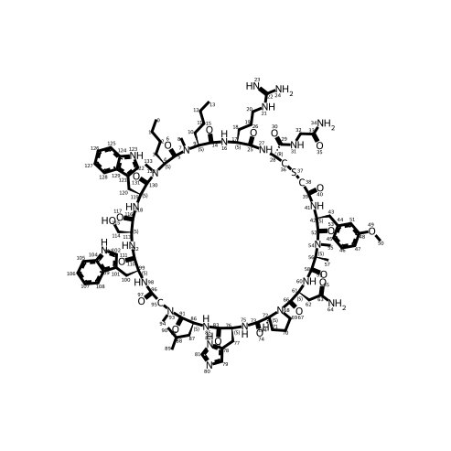 CCCC[C@H]1C(=O)N(C)[C@@H](CCCC)C(=O)N[C@@H](CCCNC(=N)N)C(=O)N[C@H](C(=O)NCC(N)=O)CSCC(=O)N[C@@H](Cc2cccc(OC)c2)C(=O)N(C)[C@@H](C)C(=O)N[C@@H](CC(N)=O)C(=O)N2CCC[C@H]2C(=O)N[C@@H](Cc2cnc[nH]2)C(=O)N[C@@H](CC(C)C)C(=O)N(C)CC(=O)N[C@@H](Cc2c[nH]c3ccccc23)C(=O)N[C@@H](CO)C(=O)N[C@@H](Cc2c[nH]c3ccccc23)C(=O)N1C